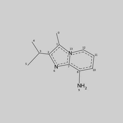 Cc1c(C(C)C)nc2c(N)cccn12